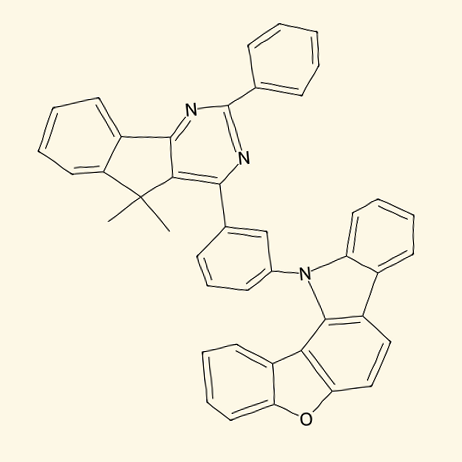 CC1(C)c2ccccc2-c2nc(-c3ccccc3)nc(-c3cccc(-n4c5ccccc5c5ccc6oc7ccccc7c6c54)c3)c21